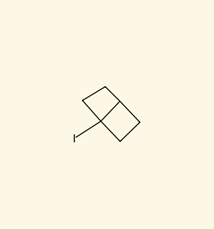 IC12CCC1CC2